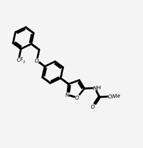 COC(=O)Nc1cc(-c2ccc(OCc3ccccc3C(F)(F)F)cc2)no1